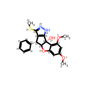 COc1cc(OC)c2c(c1)OC1[C@H](c3ccccc3)c3c(SC)n[nH]c3[C@@]21O